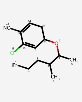 CC(C)CCC(C)C(C)OC1C=C(Cl)C(C#N)=CC1